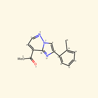 COC(=O)c1ccnn2cc(-c3ccccc3C)nc12